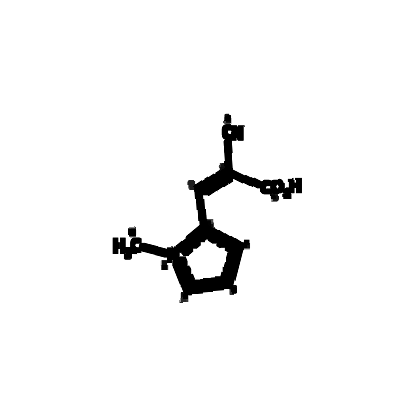 Cn1cccc1C=C(C#N)C(=O)O